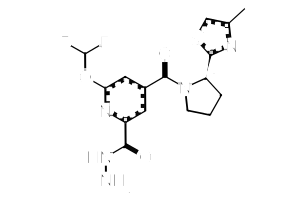 Cc1csc([C@H]2CCCN2C(=O)c2cc(OC(F)F)nc(C(=O)NN)c2)n1